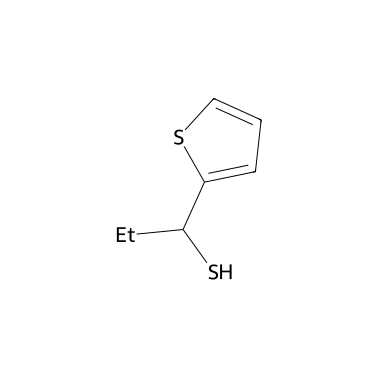 CCC(S)c1cccs1